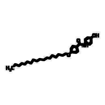 CCCCCCCCCCCCCCCCCCOc1ccc(C(=O)Nc2ccc(O)cc2)cc1